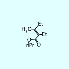 CCCOC(=O)C(CC)=C(C)CC